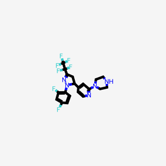 Fc1ccc(N2N=C(C(F)(F)C(F)(F)F)CC2c2ccnc(N3CCNCC3)c2)c(F)c1